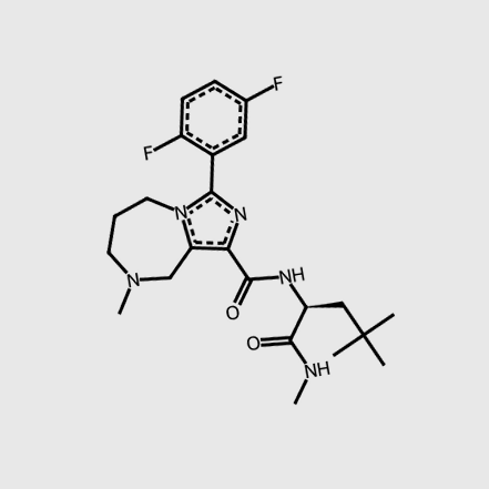 CNC(=O)[C@H](CC(C)(C)C)NC(=O)c1nc(-c2cc(F)ccc2F)n2c1CN(C)CCC2